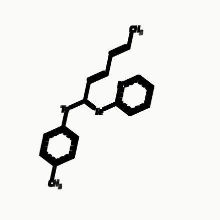 CC=CC=CC([Te]c1ccc(C)cc1)[Te]c1ccccn1